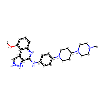 COc1cccc2nc(Nc3ccc(N4CCC(N5CCN(C)CC5)CC4)cc3)c3[nH]ncc3c12